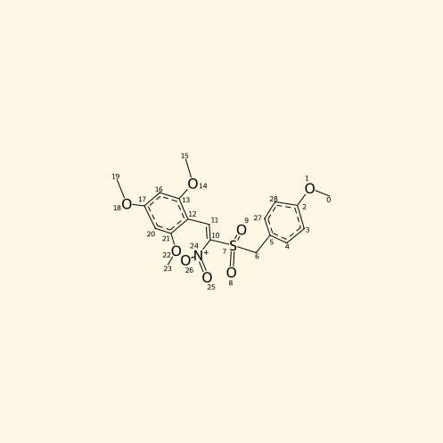 COc1ccc(CS(=O)(=O)C(=Cc2c(OC)cc(OC)cc2OC)[N+](=O)[O-])cc1